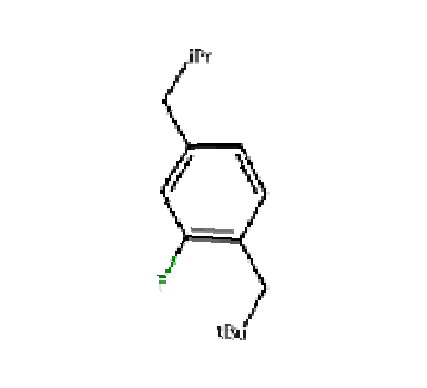 CC(C)Cc1ccc(CC(C)(C)C)c(F)c1